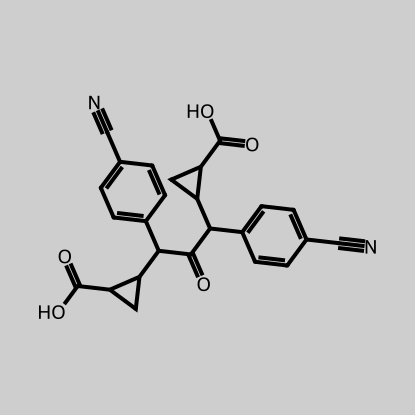 N#Cc1ccc(C(C(=O)C(c2ccc(C#N)cc2)C2CC2C(=O)O)C2CC2C(=O)O)cc1